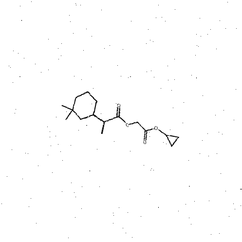 CC(C(=O)OCC(=O)OC1CC1)C1CCCC(C)(C)C1